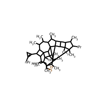 CCCC1=C(C2C(C(C)CCS)C34C2C(C)C(C)C2C(C)C5C6C7C(C)C(C(C)C)C8(C)C7(C)C6C56C25C3C2(C)C4(CCC)C(C)C8(C)C6(C)C25C)C1